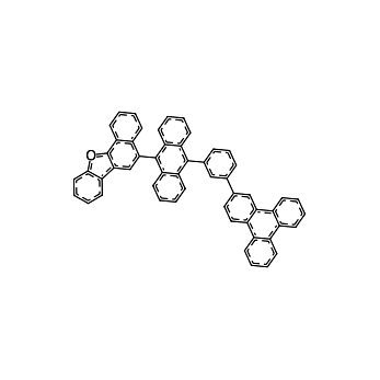 c1cc(-c2ccc3c4ccccc4c4ccccc4c3c2)cc(-c2c3ccccc3c(-c3cc4c5ccccc5oc4c4ccccc34)c3ccccc23)c1